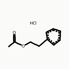 CC(=O)OCCc1ccccc1.Cl